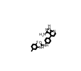 Cc1ccc(F)c(NC(=O)Nc2ccc(-c3ccnc4[nH]nc(N)c34)cc2)c1